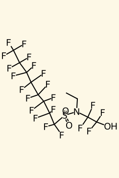 CCN(C(F)(F)C(O)(F)F)S(=O)(=O)C(F)(F)C(F)(F)C(F)(F)C(F)(F)C(F)(F)C(F)(F)C(F)(F)C(F)(F)F